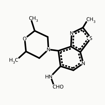 Cc1nc2c(N3CC(C)OC(C)C3)c(NC=O)cnc2s1